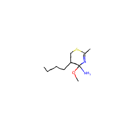 CCCCC1CSC(C)=NC1(N)OC